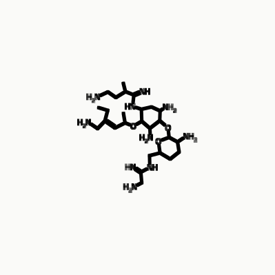 CC/C(=C\C(C)OC1C(NC(=N)C(C)CCN)CC(N)C(OC2OC(CNC(=N)CN)CCC2N)C1N)CN